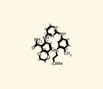 COCCNc1cc(Nc2nccc(Nc3ccc4c(c3C(N)=O)OCCO4)n2)ccc1C